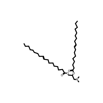 CCCCCCCC/C=C/CCCCCCCC(=O)OCC(CN(C)C)OC(=O)CCCCCCC/C=C/CCCCCCCC